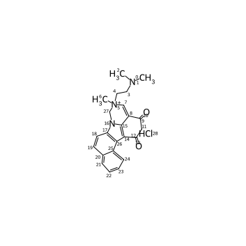 CN(C)CC[N+]1(C)C=C2C(=O)CC(=O)c3c2n(c2ccc4ccccc4c32)C1.Cl